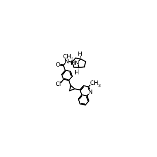 Cc1cc(C2CC2c2ccc(C(=O)N(C)C3C[C@H]4CC[C@@H](C3)N4)cc2Cl)c2ccccc2n1